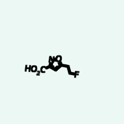 O=C(O)c1cc(CCF)on1